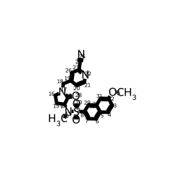 COc1ccc2ccc(S(=O)(=O)N(C)[C@H]3CCN(Cc4ccnc(C#N)c4)C3=O)cc2c1